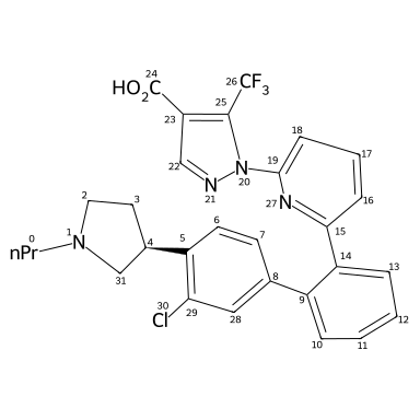 CCCN1CC[C@@H](c2ccc(-c3ccccc3-c3cccc(-n4ncc(C(=O)O)c4C(F)(F)F)n3)cc2Cl)C1